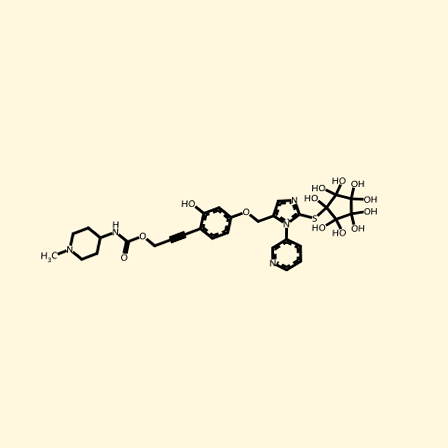 CN1CCC(NC(=O)OCC#Cc2ccc(OCc3cnc(SC4(O)C(O)(O)C(O)(O)C(O)(O)C4(O)O)n3-c3cccnc3)cc2O)CC1